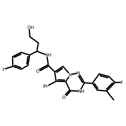 Cc1cc(-c2nn3cc(C(=O)NC(CCO)c4ccc(F)cc4)c(C(C)C)c3c(=O)[nH]2)ccc1F